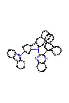 c1ccc2cc3c(cc2c1)c1ccc(-n2c4ccccc4c4ccccc42)cc1n3-c1nc2ccccc2nc1-c1cc2ccccc2c2ccccc12